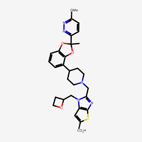 COc1ccc(C2(C)Oc3cccc(C4CCN(Cc5nc6sc(C(=O)O)cc6n5CC5CCO5)CC4)c3O2)nn1